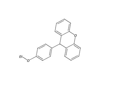 CCOc1ccc([C]2c3ccccc3Oc3ccccc32)cc1